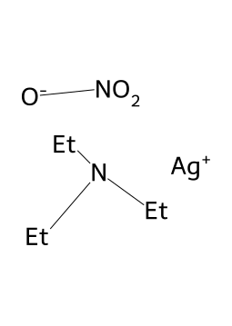 CCN(CC)CC.O=[N+]([O-])[O-].[Ag+]